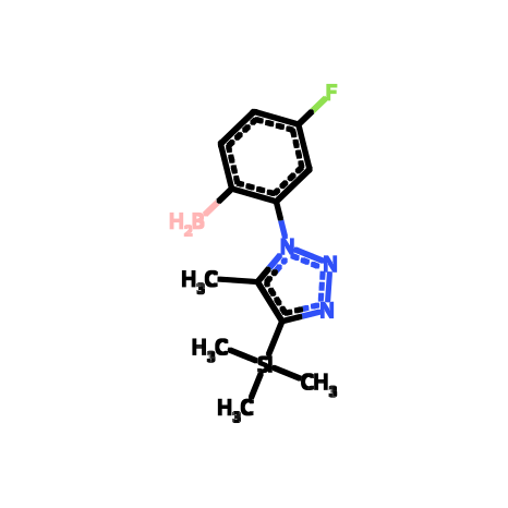 Bc1ccc(F)cc1-n1nnc([Si](C)(C)C)c1C